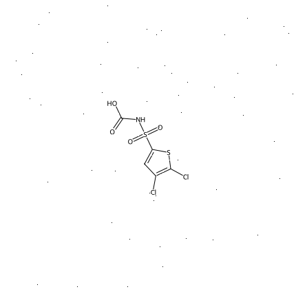 O=C(O)NS(=O)(=O)c1cc(Cl)c(Cl)s1